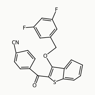 N#Cc1ccc(C(=O)c2sc3ccccc3c2OCc2cc(F)cc(F)c2)cc1